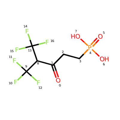 O=C(CCP(=O)(O)O)C(C(F)(F)F)C(F)(F)F